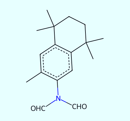 Cc1cc2c(cc1N(C=O)C=O)C(C)(C)CCC2(C)C